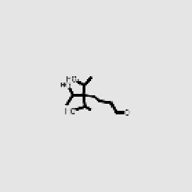 CC(O)C(CCCC[O])(C(C)O)C(C)O